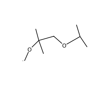 [CH2]OC(C)(C)COC(C)C